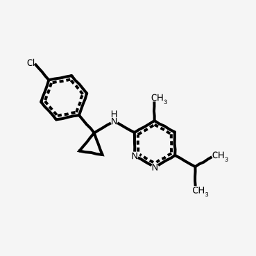 Cc1cc(C(C)C)nnc1NC1(c2ccc(Cl)cc2)CC1